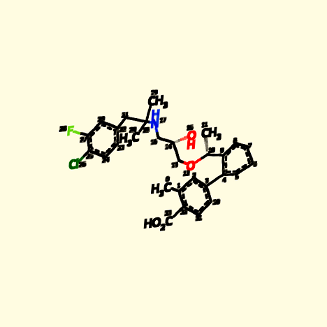 Cc1cc(-c2ccccc2[C@@H](C)OC[C@@H](O)CNC(C)(C)Cc2ccc(Cl)c(F)c2)ccc1C(=O)O